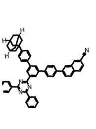 N#Cc1ccc2ccc(-c3ccc(-c4cc(-c5ccc(C67C[C@H]8C[C@H](C6)C[C@@H](C7)C8)cc5)cc(-c5nc(-c6ccccc6)nc(-c6ccccc6)n5)c4)cc3)cc2c1